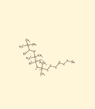 CCCC[Si](C)(C)C(CC)O[Si](C)(C)C(C)(CC)O[Si](C)(C)CCCOCCO